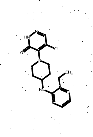 CCc1ncccc1NC1CCN(c2c(Cl)cn[nH]c2=O)CC1